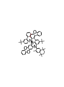 Cc1cc2c(cc1N1c3cc4c(cc3B3c5c(cc(C(C)(C)C)cc51)-c1c(ccc5oc6ccccc6c15)N3c1ccc(C(C)(C)C)cc1-c1ccccc1)Oc1ccccc1O4)C(C)(C)CCC2(C)C